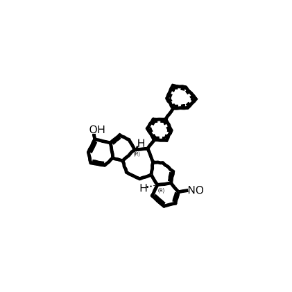 O=NC1=CC=C[C@@H]2C1=CCC1C(c3ccc(-c4ccccc4)cc3)[C@@H]3CC=C4C(O)=CC=CC4C3CCC12